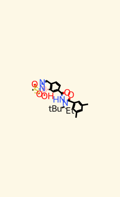 CC[C@@H](N(NC(=O)c1ccc2c(c1)B(O)N(S(C)(=O)=O)N=C2)C(=O)c1cc(C)cc(C)c1)C(C)(C)C